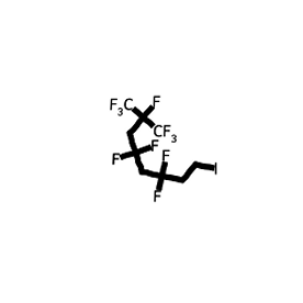 FC(F)(CCI)CC(F)(F)CC(F)(C(F)(F)F)C(F)(F)F